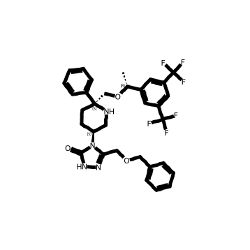 C[C@@H](OC[C@@]1(c2ccccc2)CC[C@H](n2c(COCc3ccccc3)n[nH]c2=O)CN1)c1cc(C(F)(F)F)cc(C(F)(F)F)c1